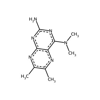 Cc1nc2nc(N)nc(N(C)C)c2nc1C